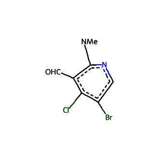 CNc1ncc(Br)c(Cl)c1C=O